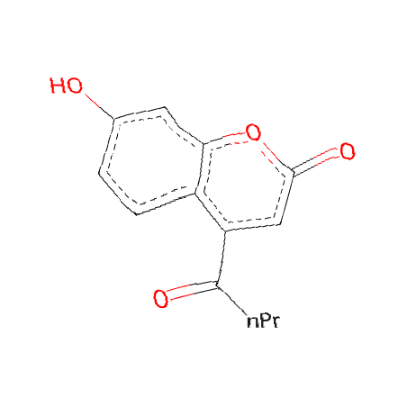 CCCC(=O)c1cc(=O)oc2cc(O)ccc12